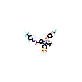 O=C(NCc1ncc(C(F)(F)F)cc1F)c1ccc2c(c1)C1(CCS(=O)(=O)CC1)C(C1CC1)N2S(=O)(=O)c1ccc(OC(F)F)cc1